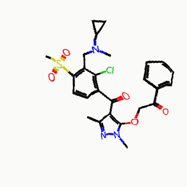 Cc1nn(C)c(OCC(=O)c2ccccc2)c1C(=O)c1ccc(S(C)(=O)=O)c(CN(C)C2CC2)c1Cl